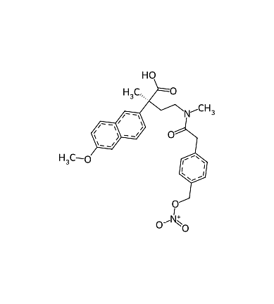 COc1ccc2cc([C@](C)(CCN(C)C(=O)Cc3ccc(CO[N+](=O)[O-])cc3)C(=O)O)ccc2c1